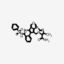 CCc1nc(C)c(C(N)=O)n1Cc1c2ccocc-2c(Br)c1-c1ccccc1C(=O)NS(=O)(=O)c1ccccc1